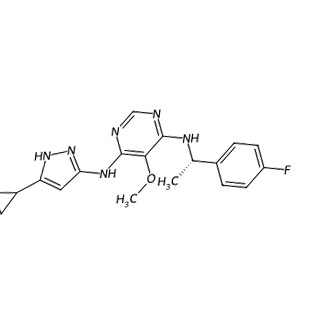 COc1c(Nc2cc(C3CC3)[nH]n2)ncnc1N[C@@H](C)c1ccc(F)cc1